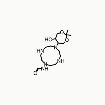 CC1(C)OCC(O)C(N2CCNCCN(NC=O)CCNCC2)CO1